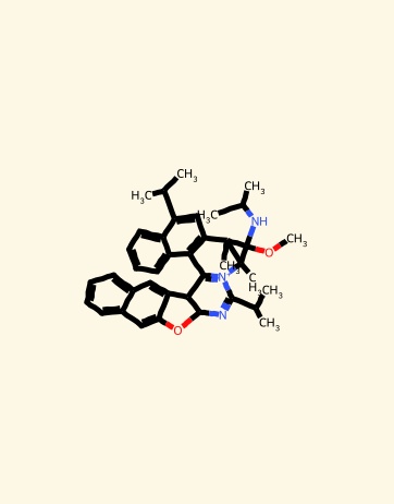 COC1(NC(C)C)C2(C)c3cc(C(C)C)c4ccccc4c3C3=[N+](C(C(C)C)=NC4Oc5cc6ccccc6cc5C34)C12C